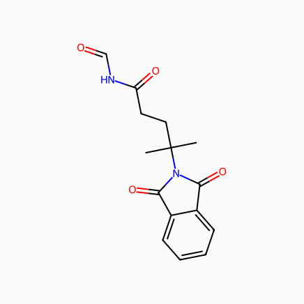 CC(C)(CCC(=O)NC=O)N1C(=O)c2ccccc2C1=O